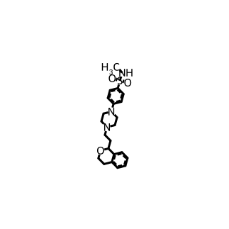 CNS(=O)(=O)c1ccc(N2CCN(CCC3OCCc4ccccc43)CC2)cc1